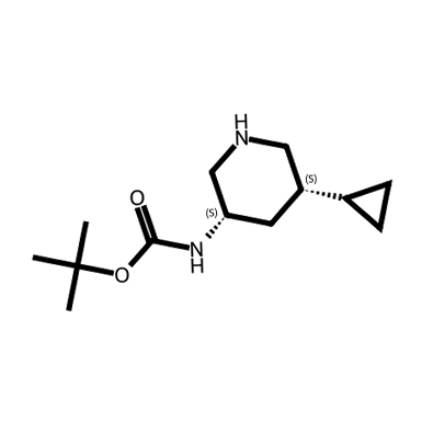 CC(C)(C)OC(=O)N[C@@H]1CNC[C@H](C2CC2)C1